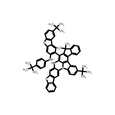 CC(C)(C)c1ccc(Nc2cc3sc4ccc(C(C)(C)C)cc4c3cc2-c2c3c(c4c5cc(C(C)(C)C)ccc5n5c4c2Bc2cc4sc6ccccc6c4cc2-5)-c2ccccc2C3(C)C)cc1